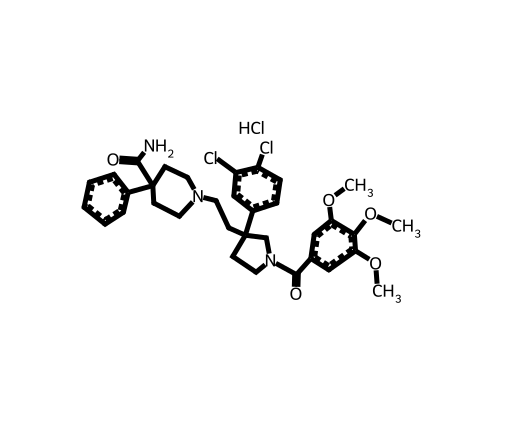 COc1cc(C(=O)N2CCC(CCN3CCC(C(N)=O)(c4ccccc4)CC3)(c3ccc(Cl)c(Cl)c3)C2)cc(OC)c1OC.Cl